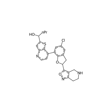 CCCC(O)c1cc2nccc(-c3cc(Cl)cc4c3OC(c3onc5c3CNCC5)C4)c2s1